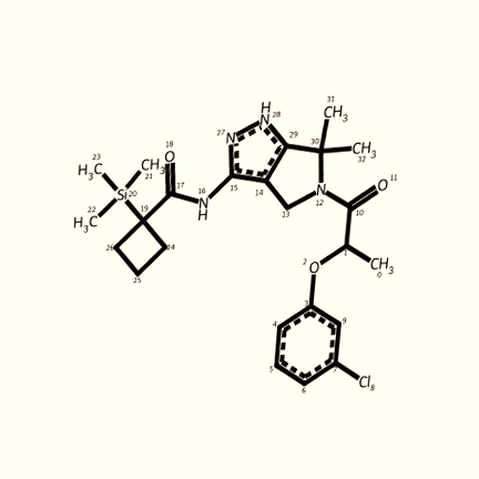 CC(Oc1cccc(Cl)c1)C(=O)N1Cc2c(NC(=O)C3([Si](C)(C)C)CCC3)n[nH]c2C1(C)C